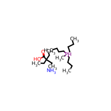 CCC(CC)(CC)C(=O)O.CCCC[PH](C)(CCCC)CCCC.N